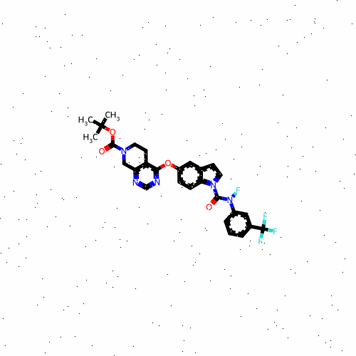 CC(C)(C)OC(=O)N1CCc2c(ncnc2Oc2ccc3c(ccn3C(=O)N(F)c3cccc(C(F)(F)F)c3)c2)C1